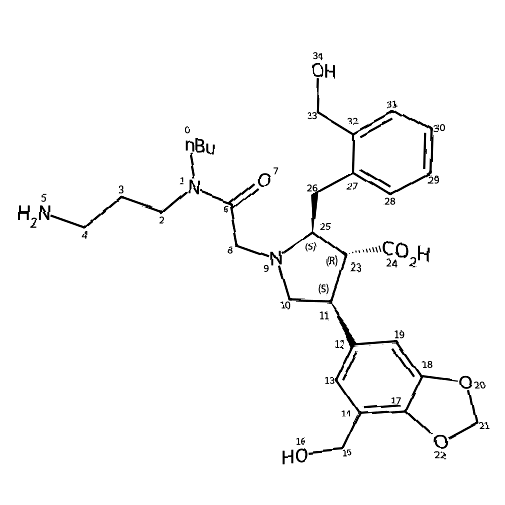 CCCCN(CCCN)C(=O)CN1C[C@H](c2cc(CO)c3c(c2)OCO3)[C@@H](C(=O)O)[C@@H]1Cc1ccccc1CO